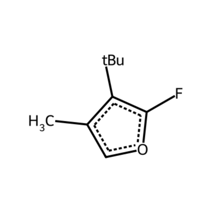 Cc1coc(F)c1C(C)(C)C